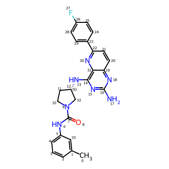 Cc1cccc(NC(=O)N2CC[C@H](Nc3nc(N)nc4ccc(-c5ccc(F)cc5)nc34)C2)c1